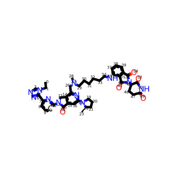 CCn1cnnc1-c1cccc(N2Cc3c(cc(N4CCC[C@H]4C)nc3CN(C)CCCCCCNc3cccc4c3C(=O)N(C3CCC(=O)NC3=O)C4=O)C2=O)n1